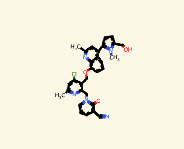 Cc1cc(Cl)c(COc2cccc3c(-c4ccc(CO)n4C)cc(C)nc23)c(Cn2cccc(C#N)c2=O)n1